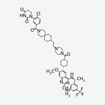 COc1cc2nc(C)nc(N[C@H](C)c3cc(N)cc(C(F)(F)F)c3)c2cc1[C@H]1CC[C@H](C(=O)N2CCN(CCC3CCC4(CC3)CCN(C(=O)c3ccc(Cl)c(N5CCC(=O)NC5=O)c3)CC4)CC2)CC1